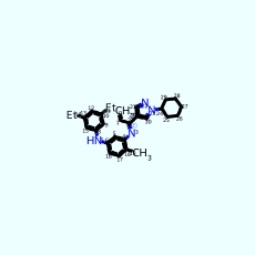 C=C/C(=N\c1cc(Nc2cc(CC)cc(CC)c2)ccc1C)c1cnn(C2CCCCC2)c1